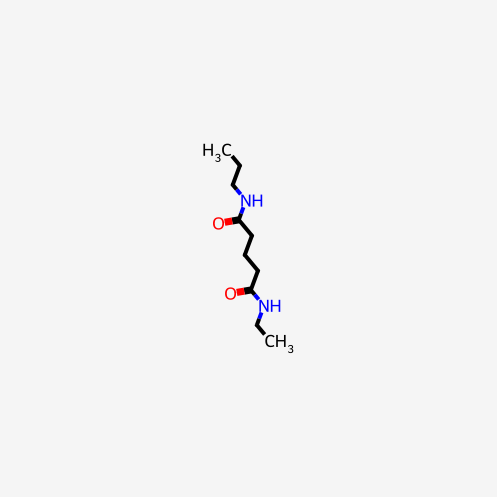 CCCNC(=O)CCCC(=O)NCC